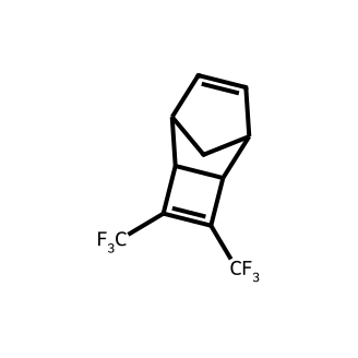 FC(F)(F)C1=C(C(F)(F)F)C2C3C=CC(C3)C12